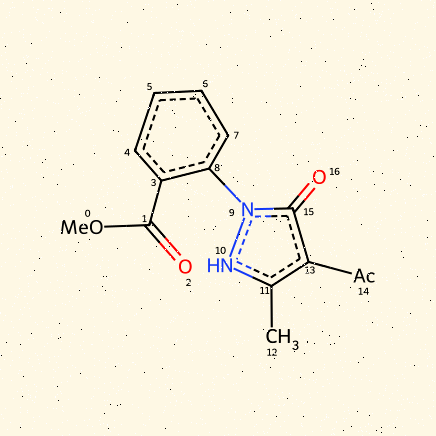 COC(=O)c1ccccc1-n1[nH]c(C)c(C(C)=O)c1=O